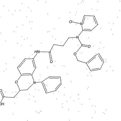 O=C(O)CC1CN(c2ccccc2)c2cc(NC(=O)CCCN(C(=O)OCc3ccccc3)c3cccc[n+]3[O-])ccc2O1